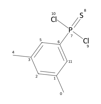 Cc1cc(C)cc(P(=S)(Cl)Cl)c1